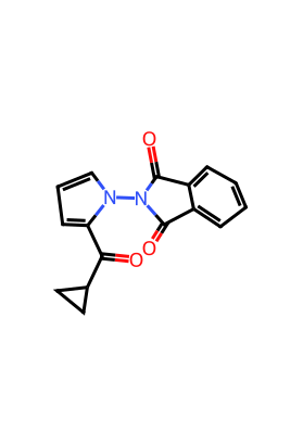 O=C(c1cccn1N1C(=O)c2ccccc2C1=O)C1CC1